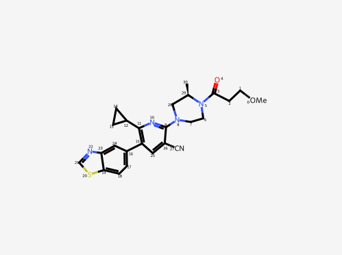 COCCC(=O)N1CCN(c2nc(C3CC3)c(-c3ccc4scnc4c3)cc2C#N)C[C@H]1C